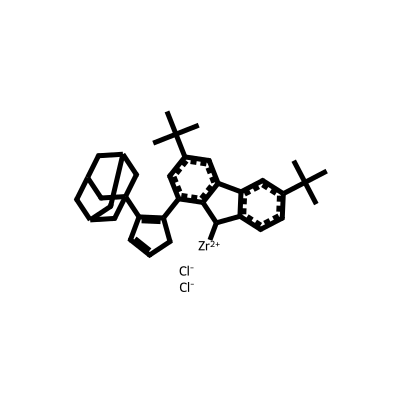 CC(C)(C)c1ccc2c(c1)-c1cc(C(C)(C)C)cc(C3=C(C45CC6CC(CC(C6)C4)C5)C=CC3)c1[CH]2[Zr+2].[Cl-].[Cl-]